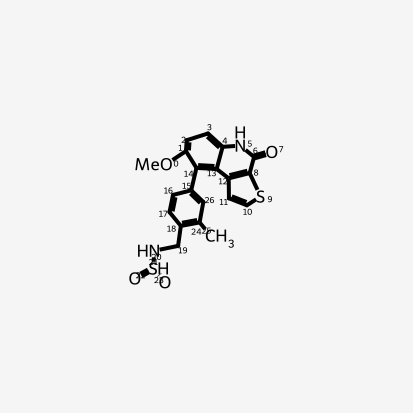 COc1ccc2[nH]c(=O)c3sccc3c2c1-c1ccc(CN[SH](=O)=O)c(C)c1